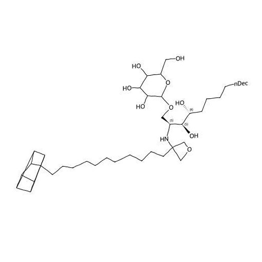 CCCCCCCCCCCCCC[C@@H](O)[C@@H](O)[C@H](COC1OC(CO)C(O)C(O)C1O)NC1(CCCCCCCCCCCC23C4C5C6C4C2C6C53)COC1